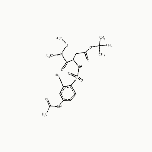 CON(C)C(=O)C(CC(=O)OC(C)(C)C)NS(=O)(=O)c1ccc(NC(C)=O)cc1O